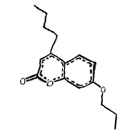 CCCCc1cc(=O)oc2cc(OCCC)ccc12